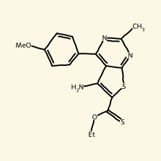 CCOC(=S)c1sc2nc(C)nc(-c3ccc(OC)cc3)c2c1N